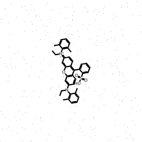 CCN(c1ccc2c(-c3ccccc3S(=O)(=O)O)c3cc/c(=[N+](/CC)c4c(C)cccc4C)cc-3oc2c1)c1c(C)cccc1C